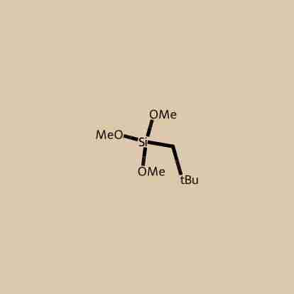 CO[Si](CC(C)(C)C)(OC)OC